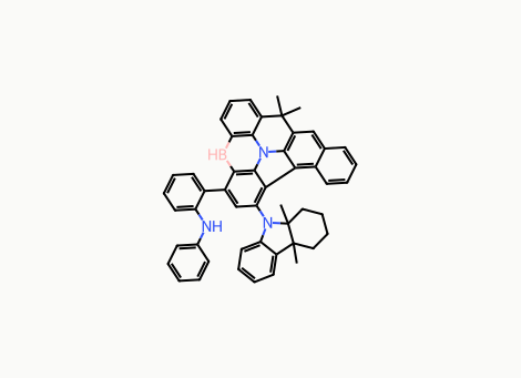 CC1(C)c2cccc3c2-n2c4c(c(-c5ccccc5Nc5ccccc5)cc(N5c6ccccc6C6(C)CCCCC56C)c4c4c5ccccc5cc1c42)B3